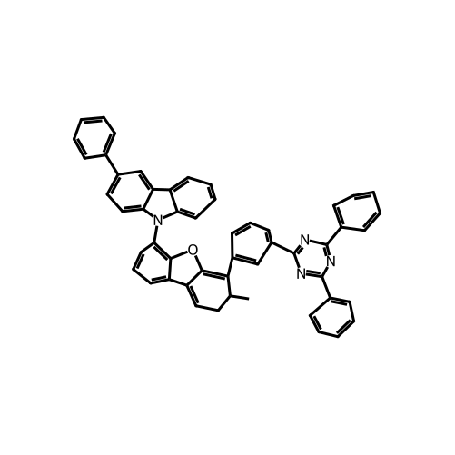 CC1CC=c2c(oc3c(-n4c5ccccc5c5cc(-c6ccccc6)ccc54)cccc23)=C1c1cccc(-c2nc(-c3ccccc3)nc(-c3ccccc3)n2)c1